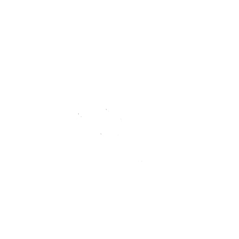 CC(C)Cc1ccc2c(c1)C1(N=C(N)N(C)C1=O)C(C)(C)CO2